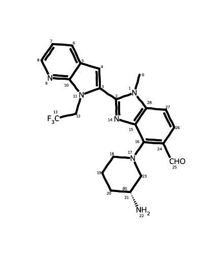 Cn1c(-c2cc3cccnc3n2CC(F)(F)F)nc2c(N3CCC[C@@H](N)C3)c(C=O)ccc21